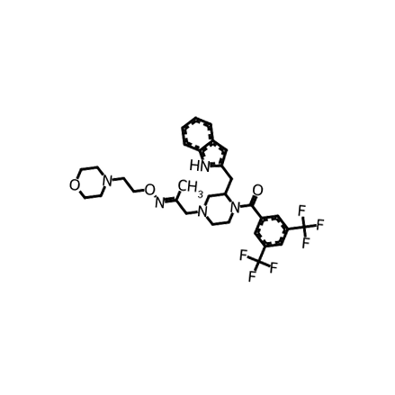 C/C(CN1CCN(C(=O)c2cc(C(F)(F)F)cc(C(F)(F)F)c2)C(Cc2cc3ccccc3[nH]2)C1)=N\OCCN1CCOCC1